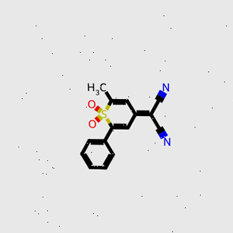 CC1=CC(=C(C#N)C#N)C=C(c2ccccc2)S1(=O)=O